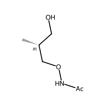 CC(=O)NOC[C@H](C)CO